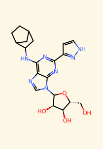 OC[C@H]1OC(n2cnc3c(NC4CC5CCC4C5)nc(-c4cc[nH]n4)nc32)[C@H](O)[C@@H]1O